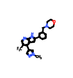 Cn1cc(-c2c(C(F)(F)F)cnc3[nH]c(-c4cccc([C]N5CCOCC5)c4)cc23)cn1